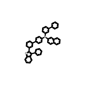 c1ccc(-c2cccc(N(c3ccc(-c4cccc(-c5oc6ccccc6c5-c5ccccc5)c4)cc3)c3ccc4ccccc4c3)c2)cc1